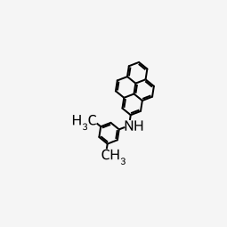 Cc1cc(C)cc(Nc2cc3ccc4cccc5ccc(c2)c3c45)c1